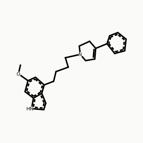 COc1cc(CCCCN2CC=C(c3ccccc3)CC2)c2cc[nH]c2c1